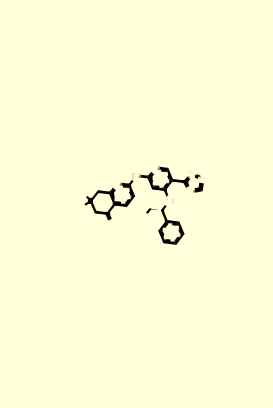 CC1(C)CC(=O)c2ccc(Nc3cc(N[C@H](CO)c4ccccc4)c(-c4nnco4)cn3)nc2C1